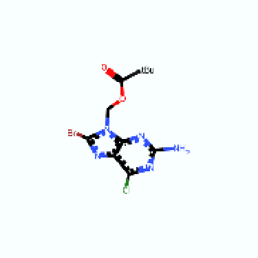 CC(C)(C)C(=O)OCn1c(Br)nc2c(Cl)nc(N)nc21